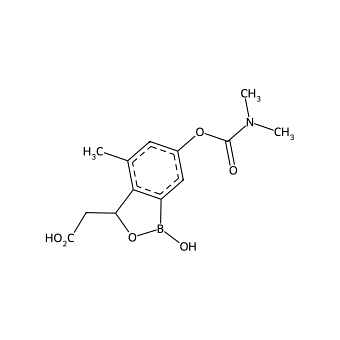 Cc1cc(OC(=O)N(C)C)cc2c1C(CC(=O)O)OB2O